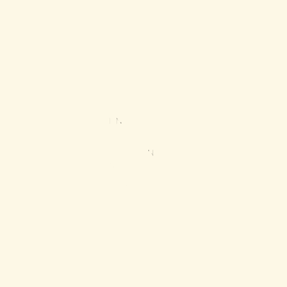 [c]1cccc2sc(Nc3ccccc3)nc12